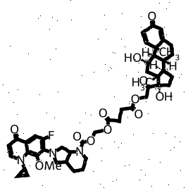 COc1c(N2CC3CCCN(C(=O)OCOC(=O)CCC(=O)OCC(=O)[C@]4(O)CC[C@@H]5[C@H]6CCC7=CC(=O)C=C[C@@]7(C)[C@@H]6[C@H](O)C[C@]54C)C3C2)c(F)cc2c(=O)ccn(C3CC3)c12